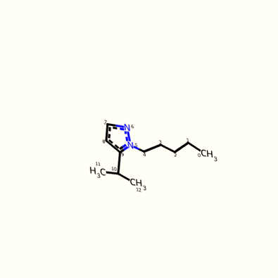 CCCCCn1n[c]cc1C(C)C